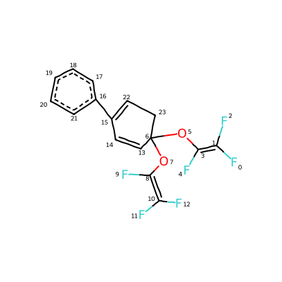 FC(F)=C(F)OC1(OC(F)=C(F)F)C=CC(c2ccccc2)=CC1